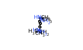 C=N/C=C(\NC(N)C(C)C)c1ccc(-c2ccc3cc(C4=CNCN4C(N)C(C)C)ccc3c2)cc1